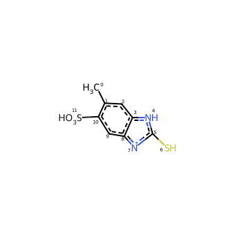 Cc1cc2[nH]c(S)nc2cc1S(=O)(=O)O